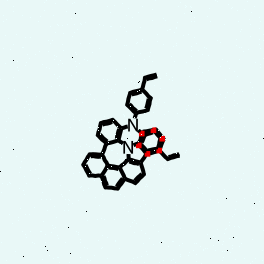 C=Cc1ccc(N(c2ccc(C=C)cc2)c2cccc3c4cccc5ccc6ccc7c8ccccc8n(c23)c7c6c54)cc1